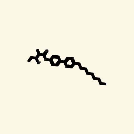 CCCCCCCCCc1cnc(-c2ccc(OC(=O)C(C)C(Br)CC)cc2)cn1